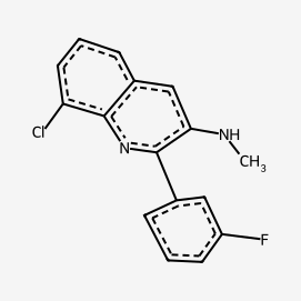 CNc1cc2cccc(Cl)c2nc1-c1cccc(F)c1